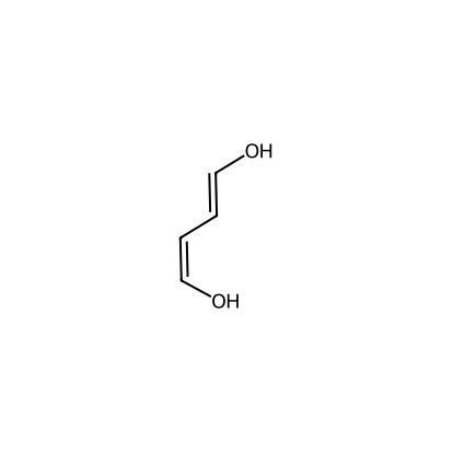 O/C=C\C=C\O